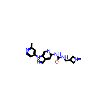 Cc1cc(-n2ncc3cc(NC(=O)NCC4CN(C)C4)ncc32)ccn1